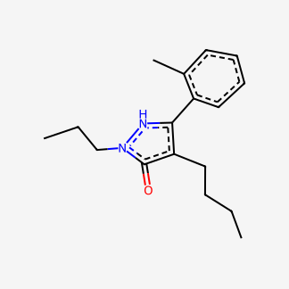 CCCCc1c(-c2ccccc2C)[nH]n(CCC)c1=O